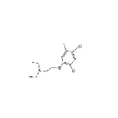 CCN(CC)CCOc1cc(C)c(Cl)cc1Cl